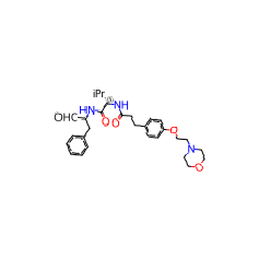 CC(C)[C@H](NC(=O)CCc1ccc(OCCN2CCOCC2)cc1)C(=O)NC(C=O)Cc1ccccc1